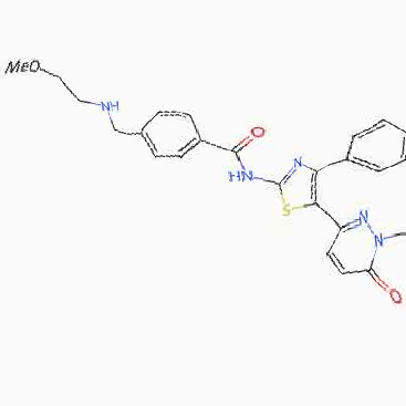 COCCNCc1ccc(C(=O)Nc2nc(-c3ccccc3)c(-c3ccc(=O)n(C(C)C)n3)s2)cc1